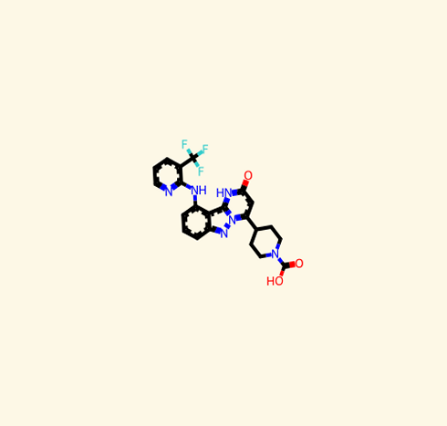 O=C(O)N1CCC(c2cc(=O)[nH]c3c4c(Nc5ncccc5C(F)(F)F)cccc4nn23)CC1